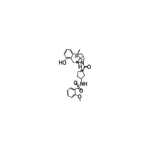 COc1ccccc1S(=O)(=O)NC1CC[C@@H](C(=O)N2CC[C@@]3(C)c4cccc(O)c4C[C@@H]2C3(C)C)C1